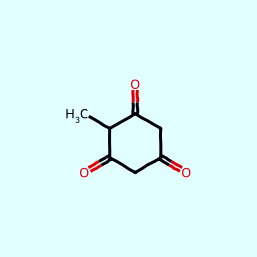 CC1C(=O)CC(=O)CC1=O